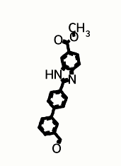 COC(=O)c1ccc2nc(-c3ccc(-c4cccc(C=O)c4)cc3)[nH]c2c1